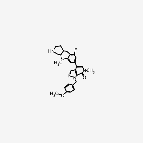 COc1ccc(Cn2ncc3c(-c4cc(F)c(CC5CCNCC5)c(OC)c4)cn(C)c(=O)c32)cc1